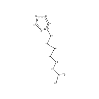 CC(C)CCCC[CH]Cc1ccccc1